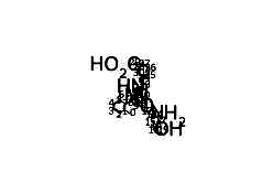 Cc1cccc(C)c1-c1cc(OCC(N)CC(C)(C)O)nc(NSc2cccc(C(=O)O)c2)n1